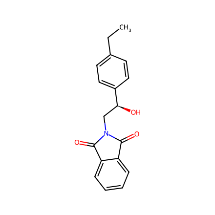 CCc1ccc([C@@H](O)CN2C(=O)c3ccccc3C2=O)cc1